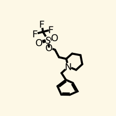 O=S(=O)(OCCC1CCCCN1Cc1ccccc1)C(F)(F)F